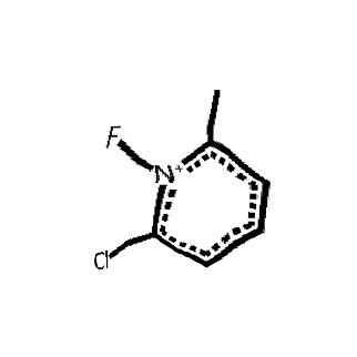 Cc1cccc(Cl)[n+]1F